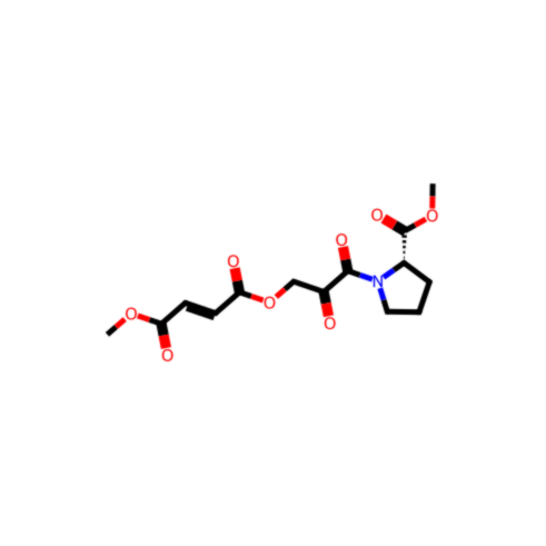 COC(=O)/C=C/C(=O)OCC(=O)C(=O)N1CCC[C@H]1C(=O)OC